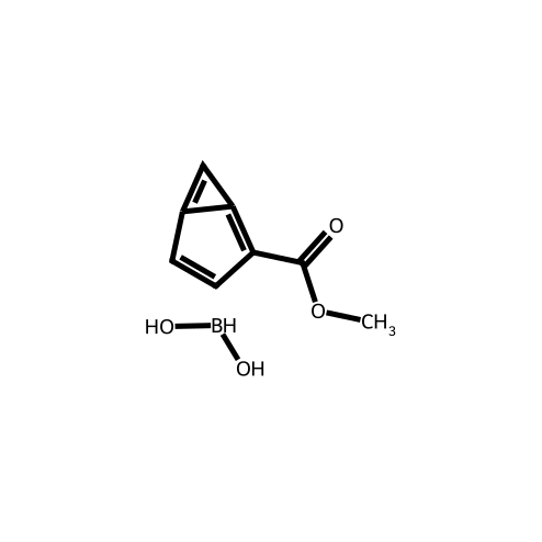 COC(=O)c1ccc2cc1-2.OBO